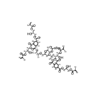 C=C(C)C(=O)OCC(O)COC(=O)c1ccc(C(=O)OCC(C)OCC(COC(C)COC(=O)c2ccc(C(=O)OCC(O)COC(=O)C(=C)C)cc2C(=O)OCC(O)COC(=O)C(=C)C)OC(C)COC(=O)CCCC)c(C(=O)OCC(O)COC(=O)C(=C)C)c1